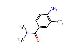 CN(C)C(=O)c1ccc(N)c(C(F)(F)F)c1